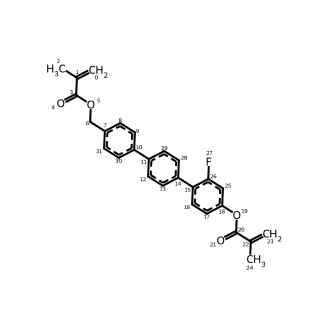 C=C(C)C(=O)OCc1ccc(-c2ccc(-c3ccc(OC(=O)C(=C)C)cc3F)cc2)cc1